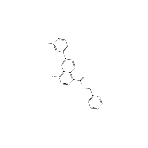 Nc1ncc(C(=O)NCc2ccccn2)c2ccc(-c3cccc(F)c3)cc12